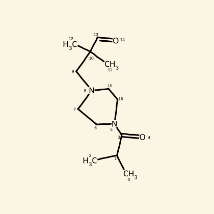 CC(C)C(=O)N1CCN(CC(C)(C)C=O)CC1